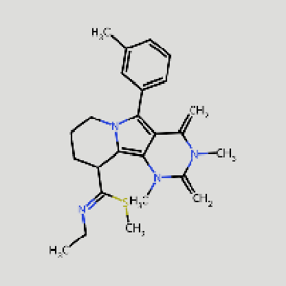 C=C1c2c(c3n(c2-c2cccc(C)c2)CCCC3/C(=N/CC)SC)N(C)C(=C)N1C